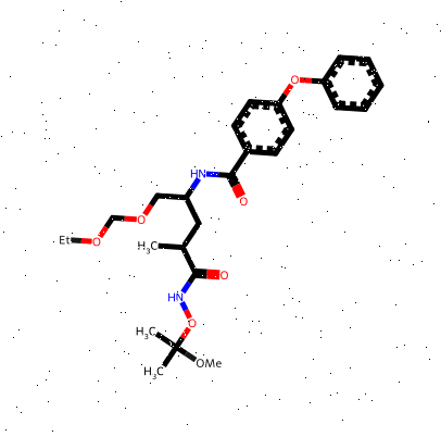 CCOCOCC(CC(C)C(=O)NOC(C)(C)OC)NC(=O)c1ccc(Oc2ccccc2)cc1